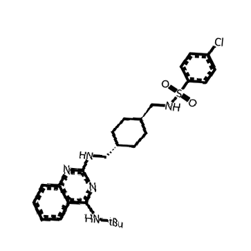 CC(C)(C)Nc1nc(NC[C@H]2CC[C@H](CNS(=O)(=O)c3ccc(Cl)cc3)CC2)nc2ccccc12